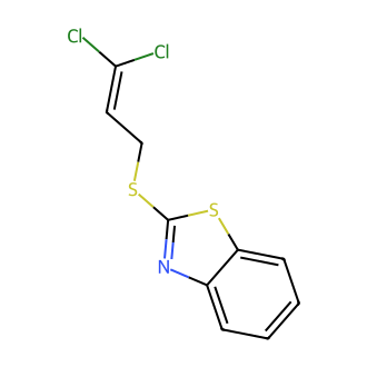 ClC(Cl)=CCSc1nc2ccccc2s1